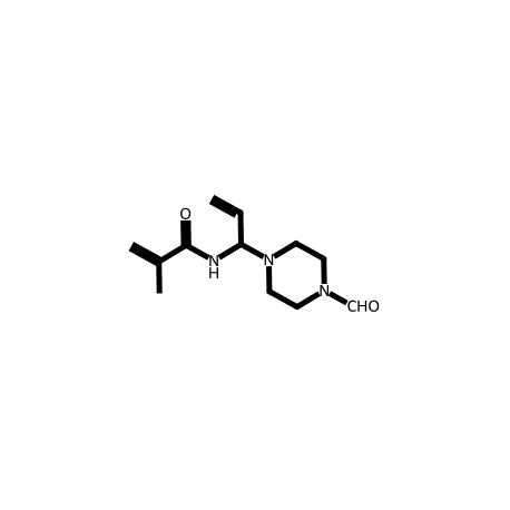 C=CC(NC(=O)C(=C)C)N1CCN(C=O)CC1